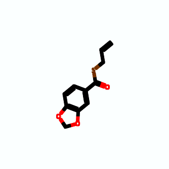 C=CCSC(=O)c1ccc2c(c1)OCO2